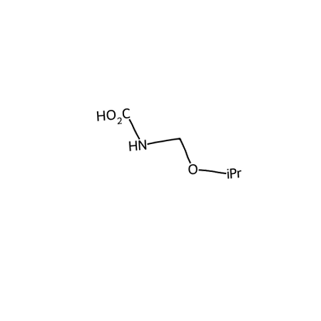 CC(C)OCNC(=O)O